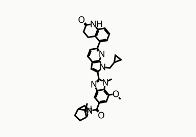 COc1cc(C(=O)N2CC3CCC2[C@@H]3C)cc2nc(-c3cc4ccc(-c5cccc6c5CCC(=O)N6)nc4n3CC3CC3)n(C)c12